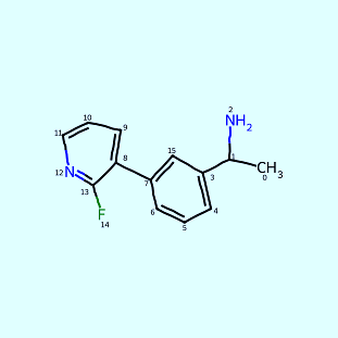 CC(N)c1cccc(-c2cccnc2F)c1